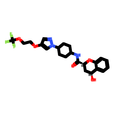 O=C(NC1CCC(n2cc(OCCOC(F)(F)F)cn2)CC1)[C@H]1C[C@@H](O)c2ccccc2O1